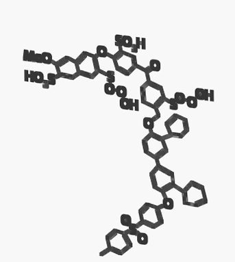 COc1cc2cc(Oc3ccc(C(=O)c4ccc(COc5ccc(-c6ccc(Oc7ccc(S(=O)(=O)c8ccc(C)cc8)cc7)c(-c7ccccc7)c6)cc5-c5ccccc5)c(SOOO)c4)cc3S(=O)(=O)O)c(SOOO)cc2cc1S(=O)(=O)O